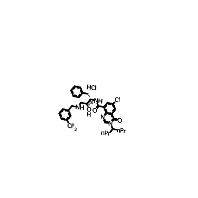 CCCC(CCC)n1cnc2c(C(=O)N[C@@H](Cc3ccccc3)[C@@H](O)CNCc3cccc(C(F)(F)F)c3)cc(Cl)cc2c1=O.Cl